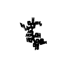 Nc1nc(NC[C@H](O)[C@H](O)[C@H](O)C(O)OP(=O)(O)O)c(N)c(=O)[nH]1